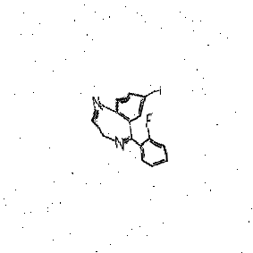 Fc1ccccc1C1=NCC=Nc2ccc(I)cc21